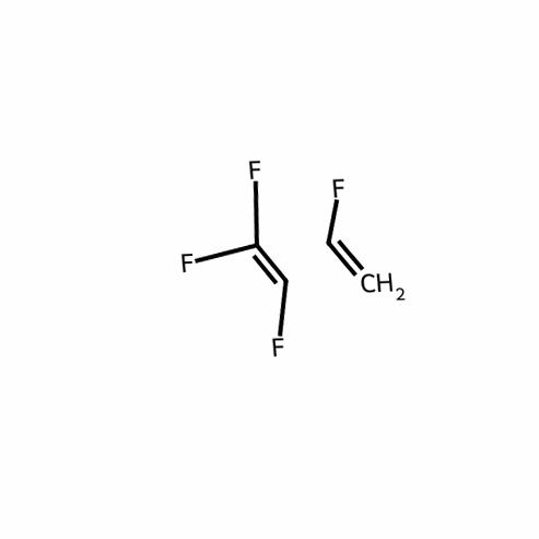 C=CF.FC=C(F)F